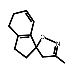 CC1=NOC2(CCC3=C2C=CCC3)C1